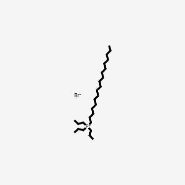 CCCCCCCCCCCCCCCCCC[P+](CCC)(CCC)CCC.[Br-]